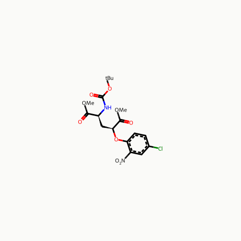 COC(=O)[C@H](C[C@H](Oc1ccc(Cl)cc1[N+](=O)[O-])C(=O)OC)NC(=O)OC(C)(C)C